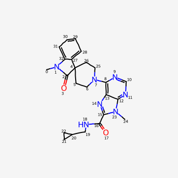 CN1C(=O)C2(CCN(c3ncnc4c3nc(C(=O)NCC3CC3)n4C)CC2)c2ccccc21